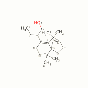 CCC(CO)C1=C2C(C)(C)C3CCC2(C3)C(C)(C)CC1